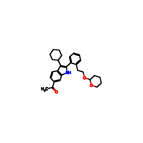 CC(=O)c1ccc2c(C3CCCCC3)c(-c3ccccc3CCOC3CCCCO3)[nH]c2c1